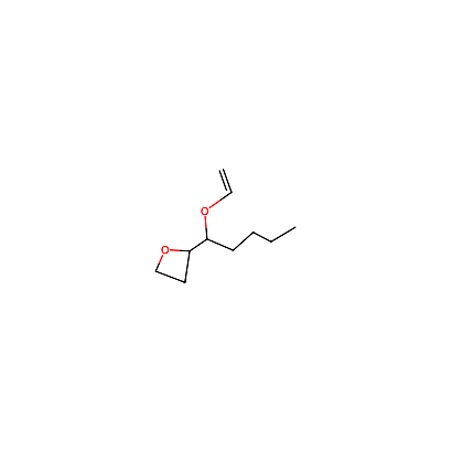 C=COC(CCCC)C1CCO1